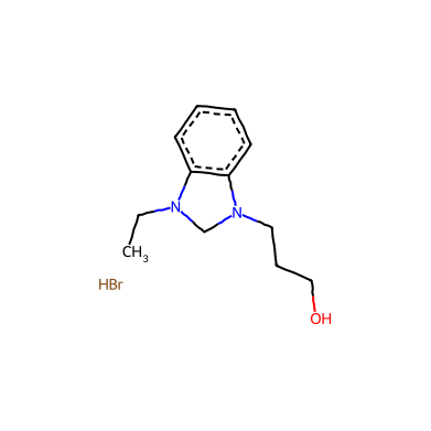 Br.CCN1CN(CCCO)c2ccccc21